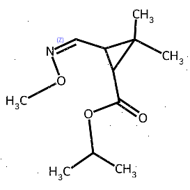 CO/N=C\C1C(C(=O)OC(C)C)C1(C)C